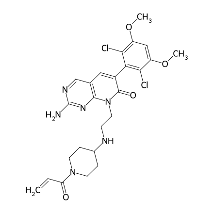 C=CC(=O)N1CCC(NCCn2c(=O)c(-c3c(Cl)c(OC)cc(OC)c3Cl)cc3cnc(N)nc32)CC1